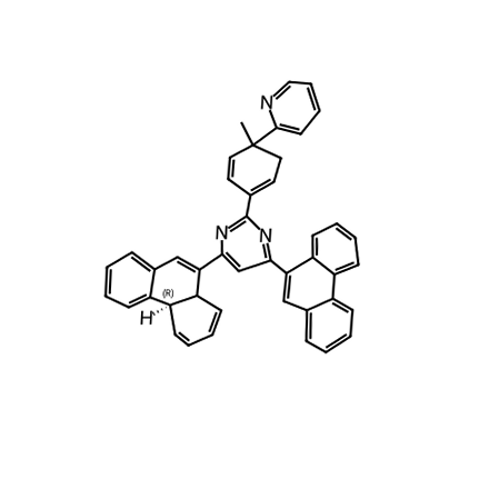 CC1(c2ccccn2)C=CC(c2nc(C3=Cc4ccccc4[C@@H]4C=CC=CC34)cc(-c3cc4ccccc4c4ccccc34)n2)=CC1